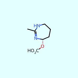 CC1=N[C@@H](OC(=O)O)CCCN1